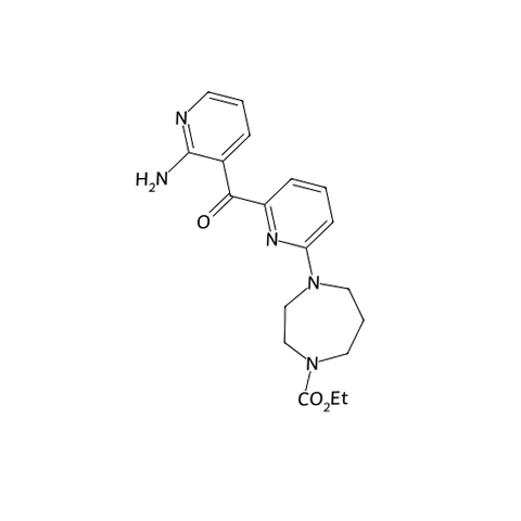 CCOC(=O)N1CCCN(c2cccc(C(=O)c3cccnc3N)n2)CC1